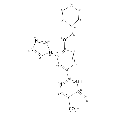 O=C(O)c1cnc(-c2ccc(OCC3CCCCC3)c(-n3cnnn3)c2)[nH]c1=O